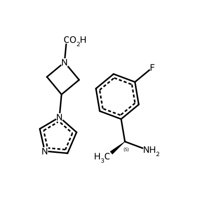 C[C@H](N)c1cccc(F)c1.O=C(O)N1CC(n2ccnc2)C1